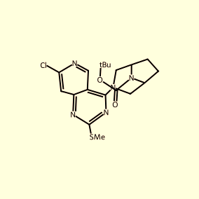 CSc1nc(N2CC3CCC(C2)N3C(=O)OC(C)(C)C)c2cnc(Cl)cc2n1